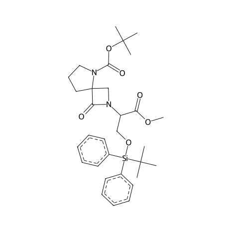 COC(=O)C(CO[Si](c1ccccc1)(c1ccccc1)C(C)(C)C)N1CC2(CCCN2C(=O)OC(C)(C)C)C1=O